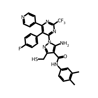 Cc1ccc(NC(=O)c2c(CS)nn(-c3nc(C(F)(F)F)nc(-c4ccncc4)c3-c3ccc(F)cc3)c2N)cc1C